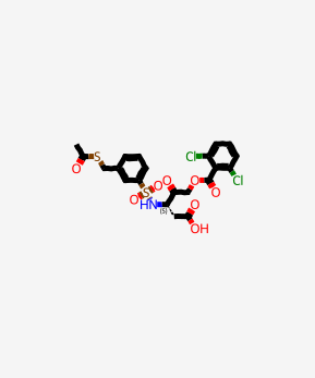 CC(=O)SCc1cccc(S(=O)(=O)N[C@@H](CC(=O)O)C(=O)COC(=O)c2c(Cl)cccc2Cl)c1